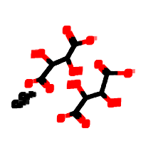 O=C([O-])C(O)C(O)C(=O)[O-].O=C([O-])C(O)C(O)C(=O)[O-].[Ca+2].[Ca+2]